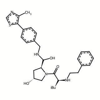 CC[C@H](C)[C@H](NCCc1ccccc1)C(=O)N1C[C@H](O)C[C@H]1C(O)NCc1ccc(-c2scnc2C)cc1